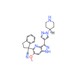 [2H]C1(n2cc(-c3n[nH]c4cc(OC)c(C5(C#N)CCc6ccccc65)nc34)cn2)CCNCC1